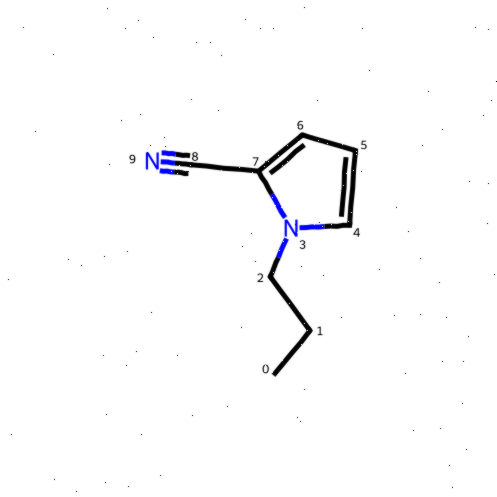 CCCn1cccc1C#N